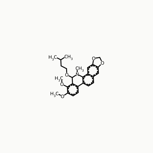 COc1ccc2c(c1OC)C(OCCC(C)C)N(C)c1c-2ccc2cc3c(cc12)OCO3